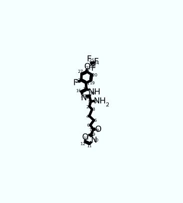 NC(CCCCCC(=O)c1ncco1)c1ncc(-c2ccc(OC(F)(F)F)cc2F)[nH]1